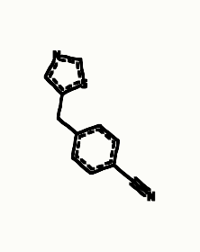 N#Cc1ccc(Cc2cncs2)cc1